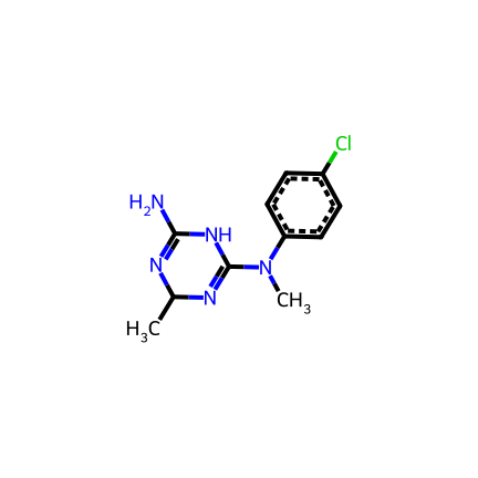 CC1N=C(N)NC(N(C)c2ccc(Cl)cc2)=N1